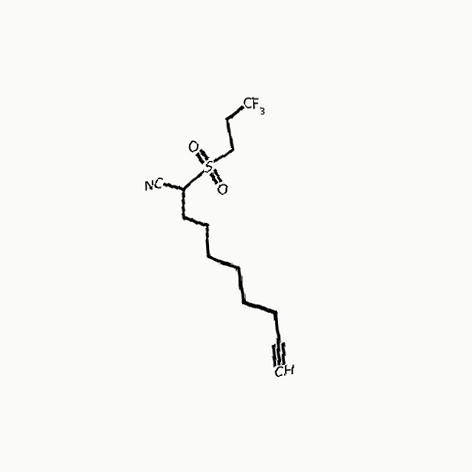 C#CCCCCCCC(C#N)S(=O)(=O)CCC(F)(F)F